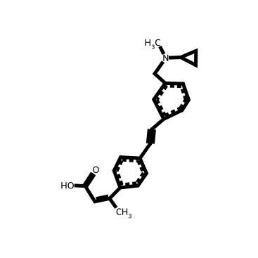 C/C(=C/C(=O)O)c1ccc(C#Cc2cccc(CN(C)C3CC3)c2)cc1